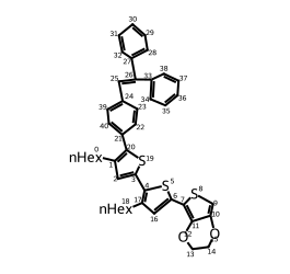 CCCCCCc1cc(-c2sc(-c3scc4c3OCCO4)cc2CCCCCC)sc1-c1ccc(C=C(c2ccccc2)c2ccccc2)cc1